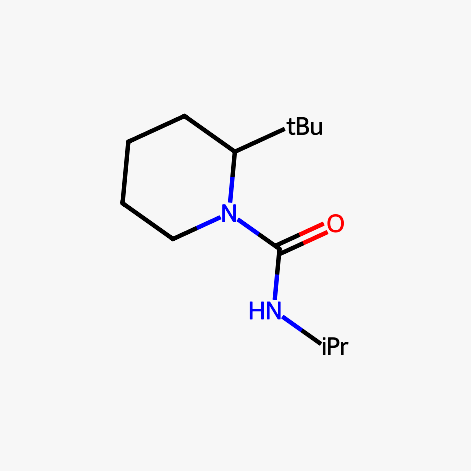 CC(C)NC(=O)N1CCCCC1C(C)(C)C